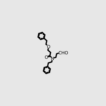 O=CCCN(CCc1ccccc1)C(=O)CCOCCc1ccccc1